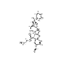 CCOC(=O)Cn1c(Cc2ccc(C#N)cc2)nc2cc(NS(=O)(=O)c3ccccc3)ccc21